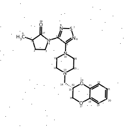 CC1CCN(c2nsnc2N2CCN(C[C@H]3COc4ccccc4O3)CC2)C1=O